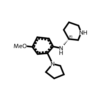 COc1ccc(N[C@@H]2CCCNC2)c(N2CCCC2)c1